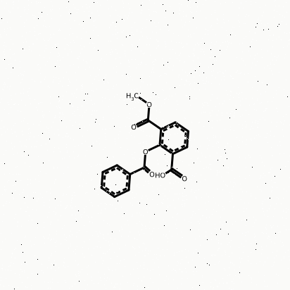 COC(=O)c1cccc(C(=O)O)c1OC(=O)c1ccccc1